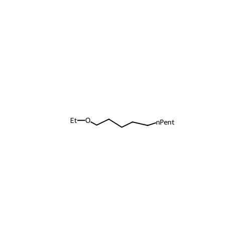 CCCCCCCCCCOCC